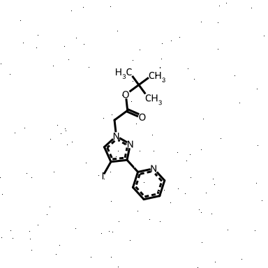 CC(C)(C)OC(=O)Cn1cc(I)c(-c2ccccn2)n1